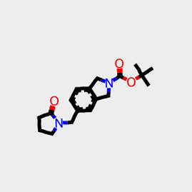 CC(C)(C)OC(=O)N1Cc2ccc(CN3CCCC3=O)cc2C1